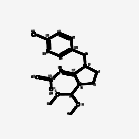 COC(OC)N1CCN(Cc2ccc(Cl)nc2)C1=N[N+](=O)[O-]